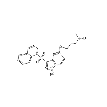 CCN(C)CCCOc1ccc2[nH]nc(S(=O)(=O)c3cccc4ccccc34)c2c1.Cl